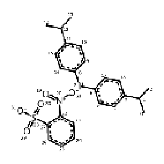 CC(C)c1ccc([I+]c2ccc(C(C)C)cc2)cc1.O=[N+]([O-])c1ccccc1S(=O)(=O)[O-]